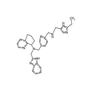 CCc1ncc(CNCc2ccc(CN(Cc3nc4ccccc4[nH]3)C3CCCc4cccnc43)cc2)[nH]1